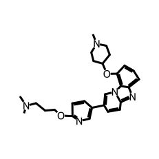 CN(C)CCCOc1ccc(-c2ccc3nc4cccc(OC5CCN(C)CC5)c4n3c2)cn1